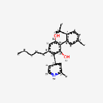 C=C(C)c1ccc(C)cc1-c1c(O)cc(CCCCC)c(-c2ccnc(C)c2)c1O